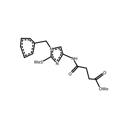 COC(=O)CCC(=O)Nc1cn(Cc2ccccc2)c(SC)n1